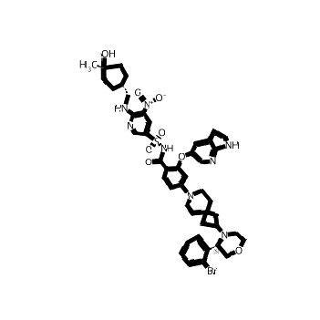 C[C@]1(O)CC[C@H](CNc2ncc(S(=O)(=O)NC(=O)c3ccc(N4CCC5(CC4)CC(N4CCOC[C@@H]4c4ccccc4Br)C5)cc3Oc3cnc4[nH]ccc4c3)cc2[N+](=O)[O-])CC1